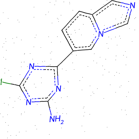 Nc1nc(Cl)nc(-c2ccc3cncn3c2)n1